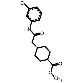 COC(=O)[C@H]1CC[C@@H](CC(=O)Nc2cccc(Cl)c2)CC1